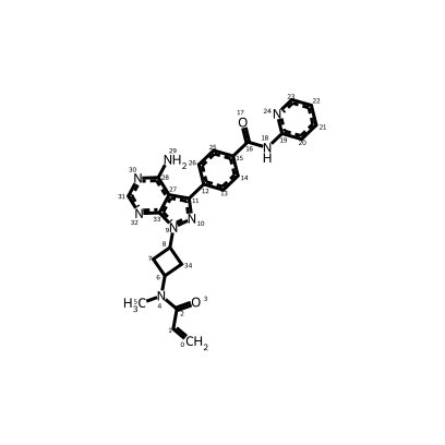 C=CC(=O)N(C)C1CC(n2nc(-c3ccc(C(=O)Nc4ccccn4)cc3)c3c(N)ncnc32)C1